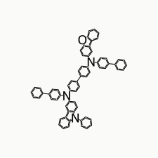 c1ccc(-c2ccc(N(c3ccc(-c4ccc(N(c5ccc(-c6ccccc6)cc5)c5ccc6c(c5)c5ccccc5n6-c5ccccc5)cc4)cc3)c3ccc4oc5ccccc5c4c3)cc2)cc1